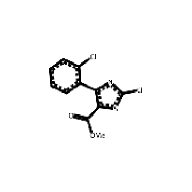 COC(=O)c1sc(Cl)nc1-c1ccccc1Cl